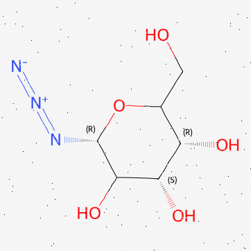 [N-]=[N+]=N[C@@H]1OC(CO)[C@H](O)[C@H](O)C1O